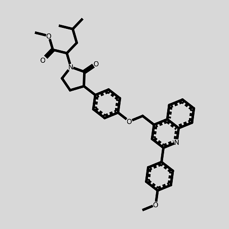 COC(=O)C(CC(C)C)N1CCC(c2ccc(OCc3cc(-c4ccc(OC)cc4)nc4ccccc34)cc2)C1=O